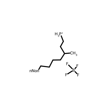 CCCCCCCCCCCCCC(C)CC[PH3+].F[B-](F)(F)F